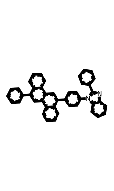 c1ccc(-c2cc3c4ccccc4c(-c4ccc(-n5c(-c6ccccc6)nc6ccccc65)cc4)cc3c3ccccc23)cc1